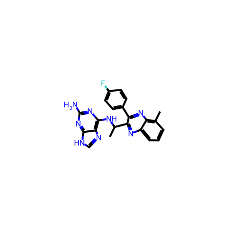 Cc1cccc2nc(C(C)Nc3nc(N)nc4[nH]cnc34)c(-c3ccc(F)cc3)nc12